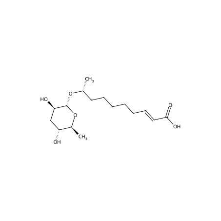 C[C@H](CCCCC/C=C/C(=O)O)O[C@@H]1O[C@@H](C)[C@H](O)C[C@H]1O